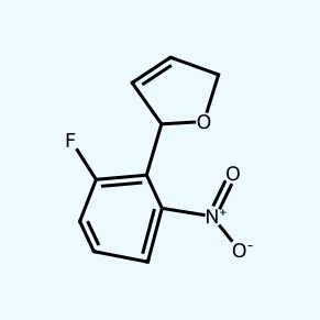 O=[N+]([O-])c1cccc(F)c1C1C=CCO1